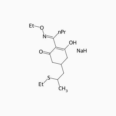 CCCC(=NOCC)C1=C(O)CC(CC(C)SCC)CC1=O.[NaH]